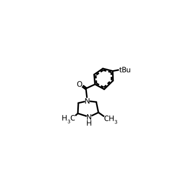 CC1CN(C(=O)c2ccc(C(C)(C)C)cc2)CC(C)N1